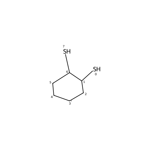 SC1C[CH]CCC1S